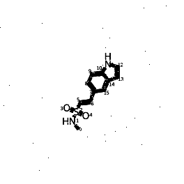 CNS(=O)(=O)C=Cc1ccc2[nH]ccc2c1